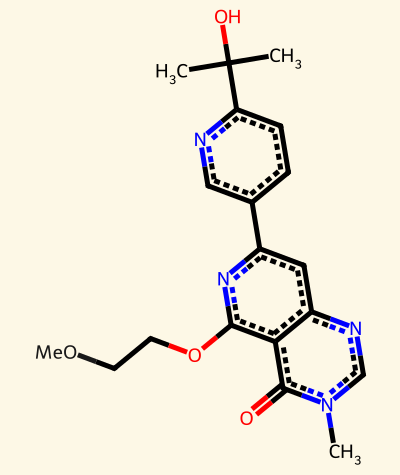 COCCOc1nc(-c2ccc(C(C)(C)O)nc2)cc2ncn(C)c(=O)c12